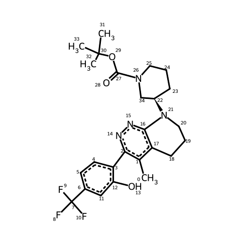 Cc1c(-c2ccc(C(F)(F)F)cc2O)nnc2c1CCCN2[C@@H]1CCCN(C(=O)OC(C)(C)C)C1